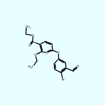 CCOC(=O)c1ccc(Oc2ccc(Br)c(C=O)c2)nc1OCC